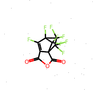 O=C1OC(=O)C23C1=C(F)C(F)(C(F)(F)C2(F)F)C3(F)F